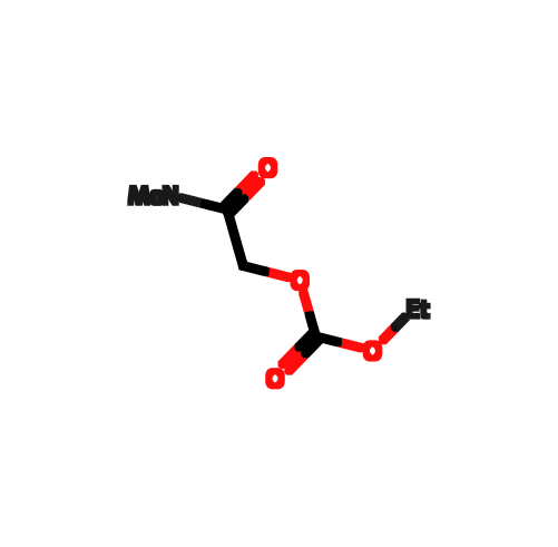 CCOC(=O)OCC(=O)NC